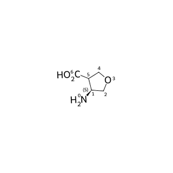 N[C@@H]1COCC1C(=O)O